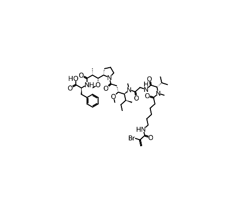 C=C(Br)C(=O)NCCCCCC(=O)N(C)[C@H](C(=O)NCC(=O)N(C)[C@@H]([C@@H](C)CC)[C@@H](CC(=O)N1CCC[C@H]1[C@H](OC)[C@@H](C)C(=O)N[C@@H](Cc1ccccc1)C(=O)O)OC)C(C)C